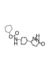 O=C(Nc1ccc(-c2ccc(=O)[nH]n2)cc1)OC1CCCCC1